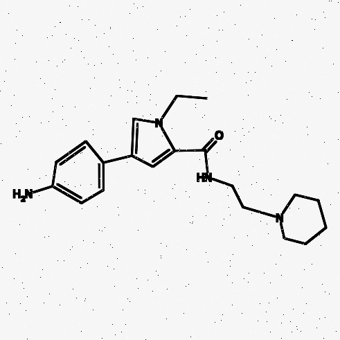 CCn1cc(-c2ccc(N)cc2)cc1C(=O)NCCN1CCCCC1